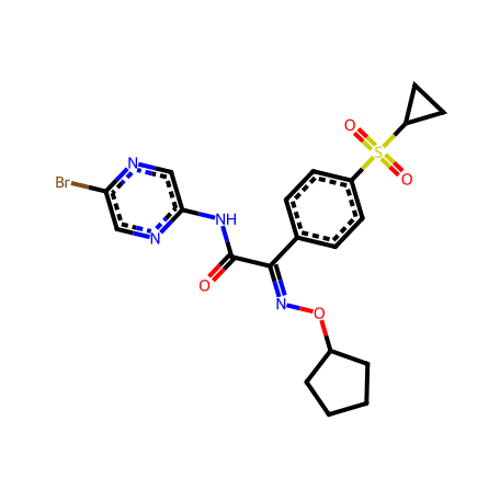 O=C(Nc1cnc(Br)cn1)/C(=N/OC1CCCC1)c1ccc(S(=O)(=O)C2CC2)cc1